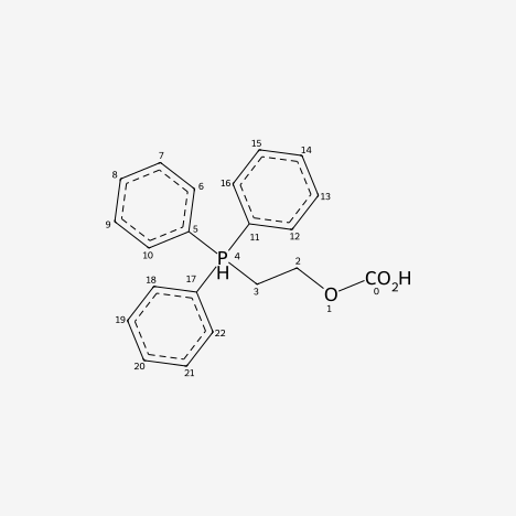 O=C(O)OCC[PH](c1ccccc1)(c1ccccc1)c1ccccc1